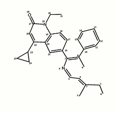 CC/C(C)=C/C=N\C(=C(/C)c1ccccc1)c1ccc2c(c1)c(C1CC1)cc(=O)n2CC